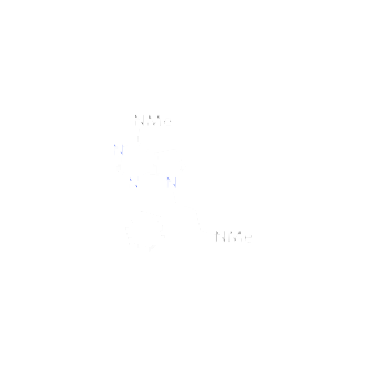 CNCCC(c1ccccc1)n1ccc2c(NC)ncnc21